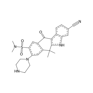 CN(C)S(=O)(=O)c1cc2c(cc1N1CCNCC1)C(C)(C)c1[nH]c3cc(C#N)ccc3c1C2=O